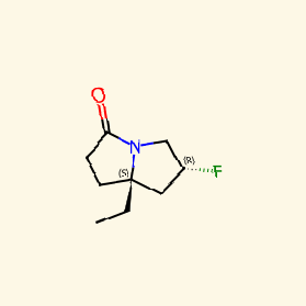 CC[C@@]12CCC(=O)N1C[C@H](F)C2